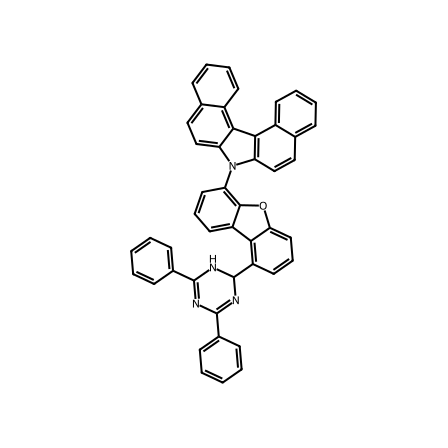 c1ccc(C2=NC(c3cccc4oc5c(-n6c7ccc8ccccc8c7c7c8ccccc8ccc76)cccc5c34)NC(c3ccccc3)=N2)cc1